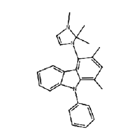 Cc1cc(C)c2c(c1N1C=CN(C)C1(C)C)c1ccccc1n2-c1ccccc1